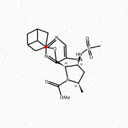 COC(=O)N1[C@H](C)C[C@H](NS(C)(=O)=O)[C@@H]1COC1CC2CC(C1)C2c1ncc(C#N)cn1